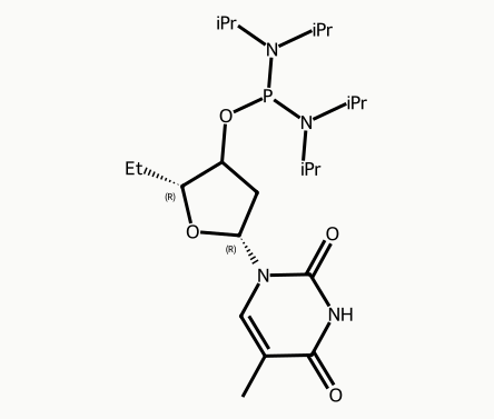 CC[C@H]1O[C@@H](n2cc(C)c(=O)[nH]c2=O)CC1OP(N(C(C)C)C(C)C)N(C(C)C)C(C)C